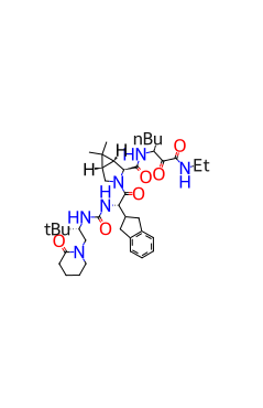 CCCCC(NC(=O)[C@@H]1[C@@H]2[C@H](CN1C(=O)[C@@H](NC(=O)N[C@H](CN1CCCCC1=O)C(C)(C)C)C1Cc3ccccc3C1)C2(C)C)C(=O)C(=O)NCC